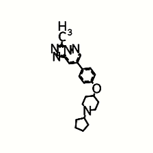 Cc1nnc2cc(-c3ccc(OC4CCN(C5CCCC5)CC4)cc3)cnn12